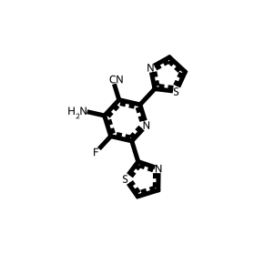 N#Cc1c(-c2nccs2)nc(-c2nccs2)c(F)c1N